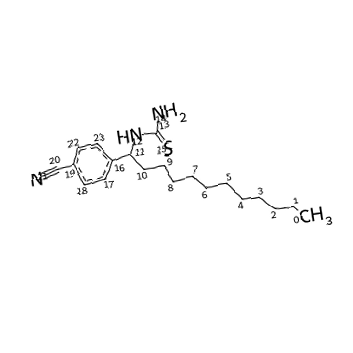 CCCCCCCCCCCC(NC(N)=S)c1ccc(C#N)cc1